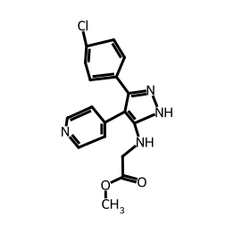 COC(=O)CNc1[nH]nc(-c2ccc(Cl)cc2)c1-c1ccncc1